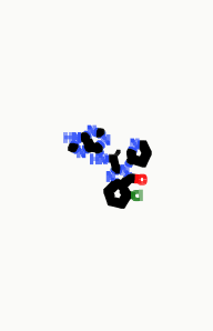 C[C@@H](Nc1ncnc2[nH]cnc12)c1nc2cccc(Cl)c2c(=O)n1-c1cccnc1